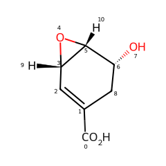 O=C(O)C1=C[C@@H]2O[C@@H]2[C@H](O)C1